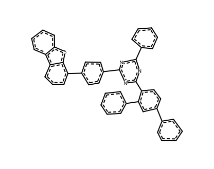 c1ccc(-c2ccc(-c3nc(-c4ccccc4)nc(-c4ccc(-c5cccc6c5sc5ccccc56)cc4)n3)c(-c3ccccc3)c2)cc1